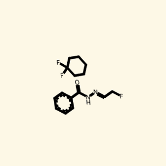 FC1(F)CCCCC1.O=C(NN=CCF)c1ccccc1